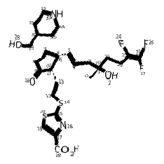 C[C@@](O)(CC=C[C@H]1CCC(=O)[C@H]1CCSc1nc(C(=O)O)cs1)CCC(F)=C(F)F.OCC1CCNCC1